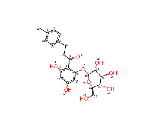 Cc1ccc(CCC(=O)c2c(O)cc(O)cc2OC2O[C@H](CO)[C@@H](O)[C@H](O)[C@H]2O)cc1